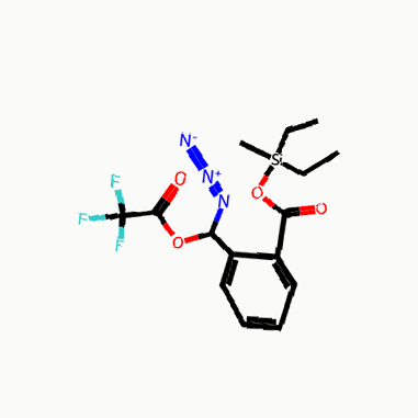 CC[Si](C)(CC)OC(=O)c1ccccc1C(N=[N+]=[N-])OC(=O)C(F)(F)F